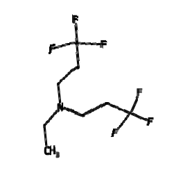 CCN(CCC(F)(F)F)CCC(F)(F)F